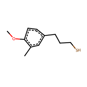 COc1ccc(CCCS)cc1C